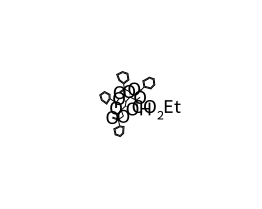 CCOC(=O)[C@H](OC(=O)c1ccccc1)[C@@H](OC(=O)c1ccccc1)[C@H](OC(=O)c1ccccc1)[C@H](O)COC(=O)c1ccccc1